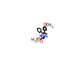 COC(=O)c1cc2ncc(-c3ccc(OC)cc3)c(C3CCCCC3)n2n1